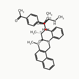 CN[C@@H](C)C(=O)N[C@@H](C)C(=O)N(Cc1c(OC)ccc2ccccc12)c1ccccc1NC(=O)c1ccc(C(C)=O)cc1